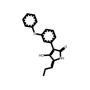 CC/C=C1/NC(=O)C(c2cccc(Oc3ccccc3)c2)=C1O